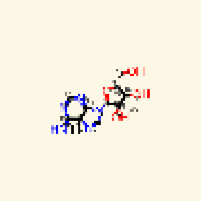 [2H]C12N=CN([C@@H]3O[C@H](CO)[C@@H](O)[C@@]3(C)O)C1=NC=NC2=N